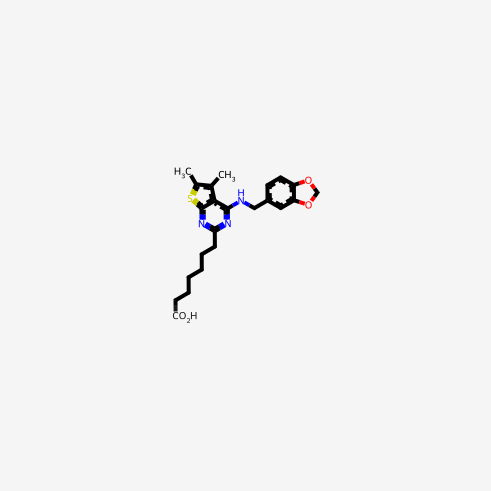 Cc1sc2nc(CCCCCCC(=O)O)nc(NCc3ccc4c(c3)OCO4)c2c1C